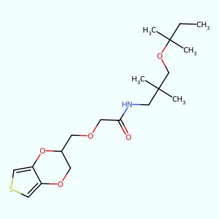 CCC(C)(C)OCC(C)(C)CNC(=O)COCC1COc2cscc2O1